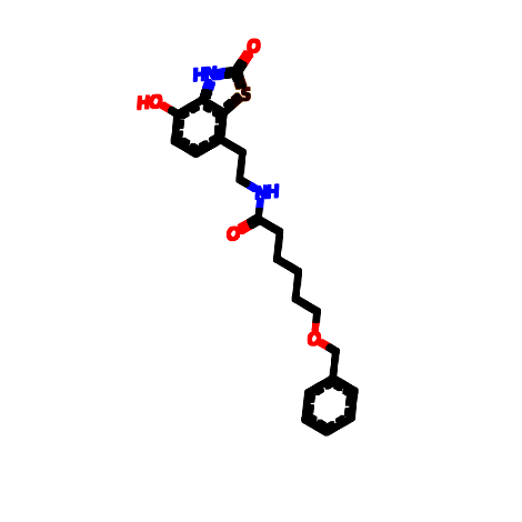 O=C(CCCCCOCc1ccccc1)NCCc1ccc(O)c2[nH]c(=O)sc12